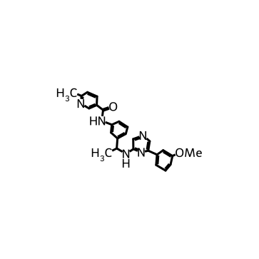 COc1cccc(-c2cncc(NC(C)c3cccc(NC(=O)c4ccc(C)nc4)c3)n2)c1